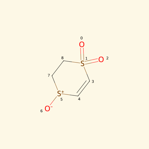 O=S1(=O)C=C[S+]([O-])CC1